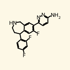 Nc1ccc(-c2cc3c(cc2F)C(c2ccc(F)cc2F)CCNC3)nn1